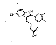 Cc1ccc(-c2[nH]c3ccc(Cl)cc3c2CCCC(=O)O)cc1C